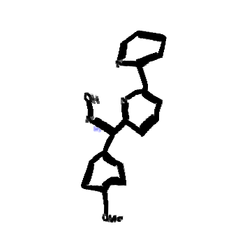 COc1ccc(/C(=N/O)c2cccc(-c3ccccn3)n2)cc1